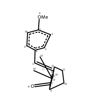 COc1ccc(/C=C2/C(=O)C3CCC2C(C)(C)O3)cc1